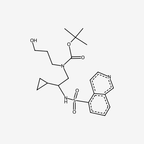 CC(C)(C)OC(=O)N(CCCO)CC(NS(=O)(=O)c1cccc2cnccc12)C1CC1